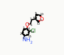 Nc1ccc(OCCc2ccoc2)c(Cl)c1